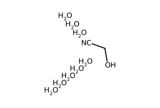 N#CCO.O.O.O.O.O.O.O.O